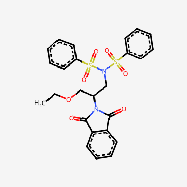 CCOCC(CN(S(=O)(=O)c1ccccc1)S(=O)(=O)c1ccccc1)N1C(=O)c2ccccc2C1=O